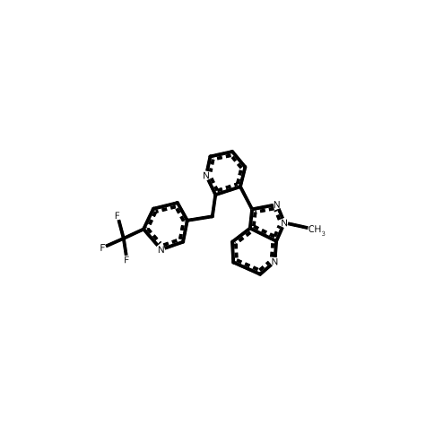 Cn1nc(-c2cccnc2Cc2ccc(C(F)(F)F)nc2)c2cccnc21